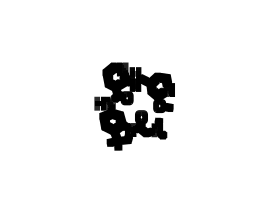 COc1cc(CNc2ncccc2C(=O)Nc2ccc3c(c2)N(C(=O)CN(C)C)CC3(C)C)ccn1